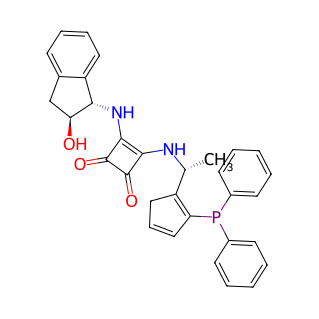 C[C@@H](Nc1c(N[C@H]2c3ccccc3C[C@@H]2O)c(=O)c1=O)C1=C(P(c2ccccc2)c2ccccc2)C=CC1